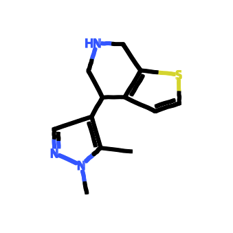 Cc1c(C2CNCc3sccc32)cnn1C